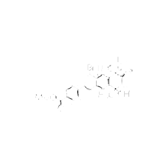 COC(=O)c1ccc(/C=C/c2cc3c(cc2CBr)C(C)(C)C(=O)CC3(C)C)cc1